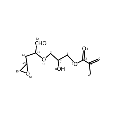 C=C(C)C(=O)OCC(O)COC(C=O)CC1CO1